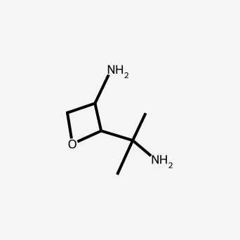 CC(C)(N)C1OCC1N